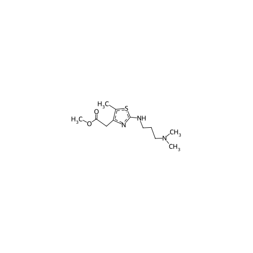 COC(=O)Cc1nc(NCCCN(C)C)sc1C